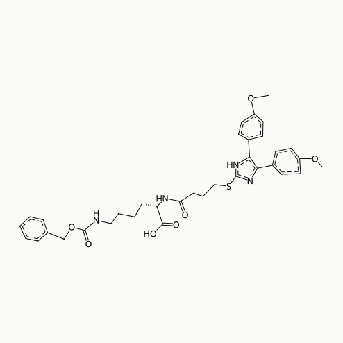 COc1ccc(-c2nc(SCCCC(=O)N[C@@H](CCCCNC(=O)OCc3ccccc3)C(=O)O)[nH]c2-c2ccc(OC)cc2)cc1